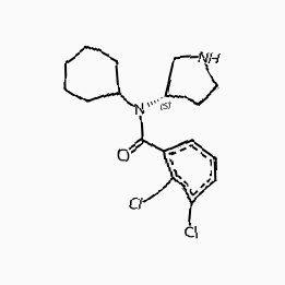 O=C(c1cccc(Cl)c1Cl)N(C1CCCCC1)[C@H]1CCNC1